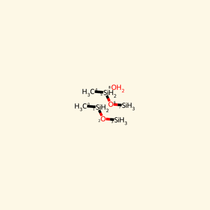 C[SiH2]O[SiH3].C[SiH2]O[SiH3].O